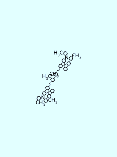 Cc1cccc(N(c2cccc(C)c2)c2ccc3c(c2)C2(c4ccccc4-c4ccccc42)c2cc(/C=C/c4ccc5c(c4)C(C)(C)c4cc(/C=C/c6ccc7c(c6)C6(c8ccccc8-c8ccccc86)c6cc(N(c8cccc(C)c8)c8cccc(C)c8)ccc6-7)ccc4-5)ccc2-3)c1